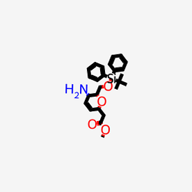 COC(=O)CC1C=CC(N)C(CO[Si](c2ccccc2)(c2ccccc2)C(C)(C)C)O1